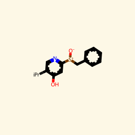 CC(C)c1cnc([S+]([O-])Cc2ccccc2)cc1O